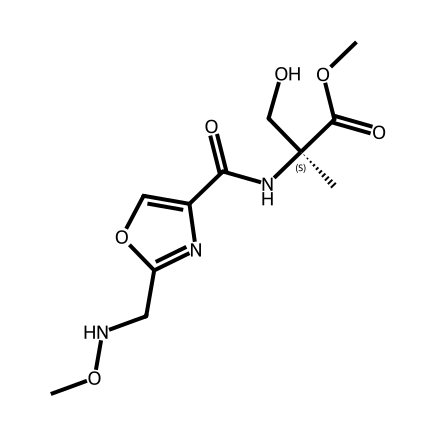 CONCc1nc(C(=O)N[C@@](C)(CO)C(=O)OC)co1